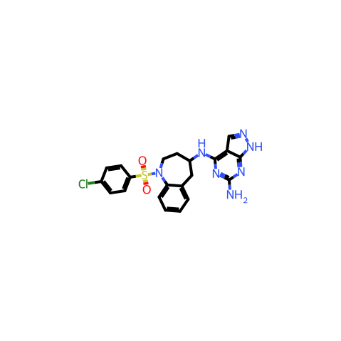 Nc1nc(NC2CCN(S(=O)(=O)c3ccc(Cl)cc3)c3ccccc3C2)c2cn[nH]c2n1